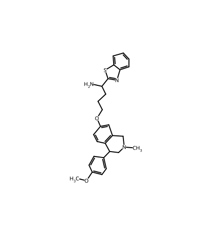 COc1ccc(C2CN(C)Cc3cc(OCCCC(N)c4nc5ccccc5s4)ccc32)cc1